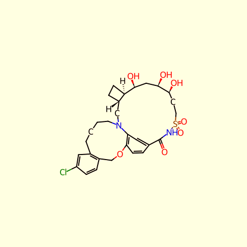 O=C1NS(=O)(=O)CC[C@H](O)[C@H](O)C[C@H](O)[C@@H]2CC[C@H]2CN2CCCCc3cc(Cl)ccc3COc3ccc1cc32